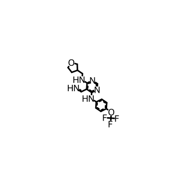 N=Cc1c(NCC2CCOC2)ncnc1Nc1ccc(OC(F)(F)F)cc1